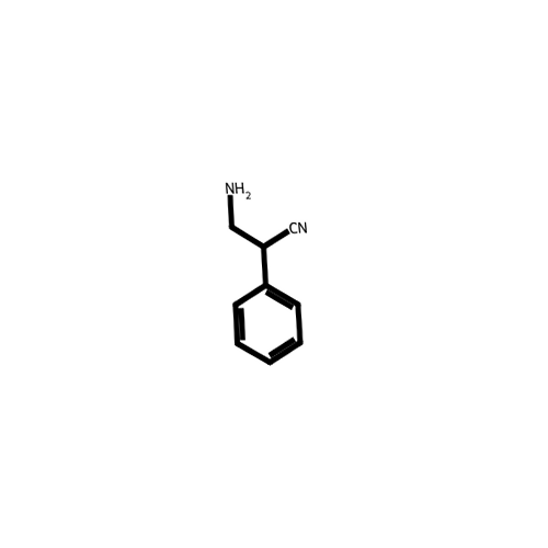 N#CC(CN)c1ccccc1